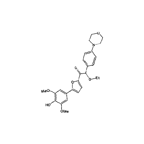 CCOC(C(=O)c1ccc(-c2cc(OC)c(O)c(OC)c2)o1)c1ccc(N2CCOCC2)cc1